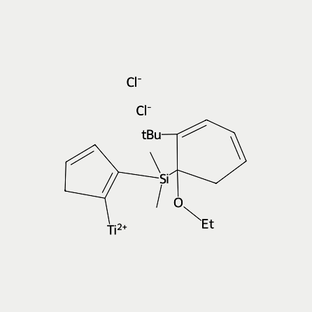 CCOC1([Si](C)(C)C2=[C]([Ti+2])CC=C2)CC=CC=C1C(C)(C)C.[Cl-].[Cl-]